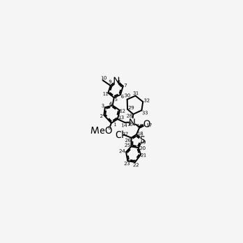 COc1ccc(-c2ccnc(C)c2)cc1CN(C(=O)c1sc2ccccc2c1Cl)C1CCCCC1